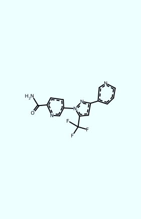 NC(=O)c1ccc(-n2nc(-c3cccnc3)cc2C(F)(F)F)cn1